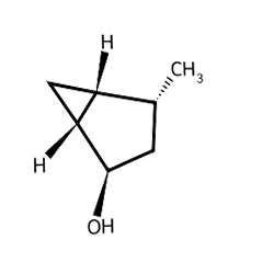 C[C@@H]1C[C@@H](O)[C@@H]2C[C@@H]21